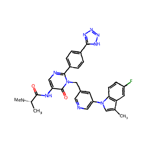 CN[C@@H](C)C(=O)Nc1cnc(-c2ccc(-c3nnn[nH]3)cc2)n(Cc2cncc(-n3cc(C)c4cc(F)ccc43)c2)c1=O